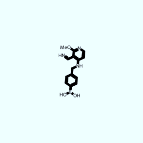 COc1nccc(NCc2ccc(B(O)O)cc2)c1C=N